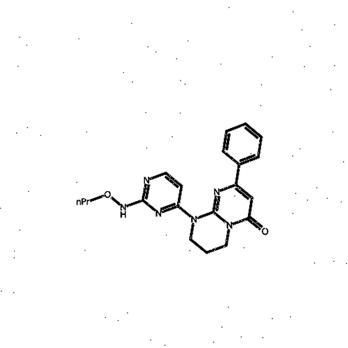 CCCONc1nccc(N2CCCn3c2nc(-c2ccccc2)cc3=O)n1